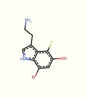 NCCc1c[nH]c2c(Br)cc(O)c(F)c12